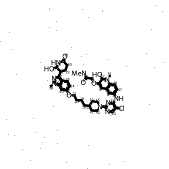 CNC(=O)COC1=Cc2cc(Nc3nc(N4CCC(CCCCOc5ccc6c(C7CCC(=O)NC7O)nn(C)c6c5)CC4)ncc3Cl)ccc2N(C)C1O